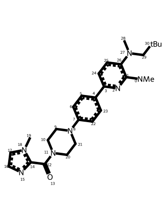 CNc1nc(-c2ccc(N3CCN(C(=O)c4nccn4C)CC3)cc2)ccc1N(C)CC(C)(C)C